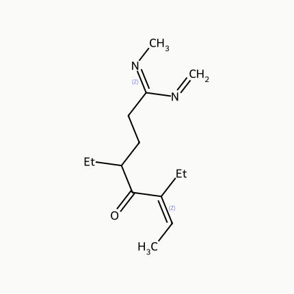 C=N/C(CCC(CC)C(=O)/C(=C\C)CC)=N\C